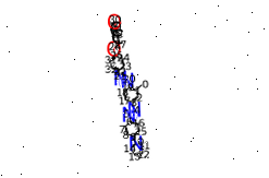 Cc1cc(/N=N/c2ccc(N3CCCC3)cc2)ccc1/N=N/c1ccc(OC=C=C=O)cc1